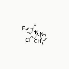 Cc1c(-c2ccccn2)nc2c(F)cc(F)cc2c1Cl